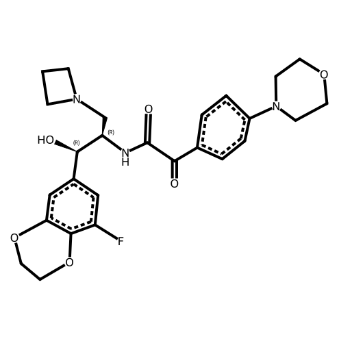 O=C(N[C@H](CN1CCC1)[C@H](O)c1cc(F)c2c(c1)OCCO2)C(=O)c1ccc(N2CCOCC2)cc1